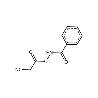 N#CCC(=O)ONC(=O)c1ccccc1